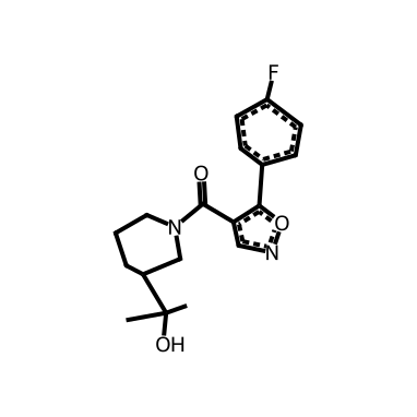 CC(C)(O)C1CCCN(C(=O)c2cnoc2-c2ccc(F)cc2)C1